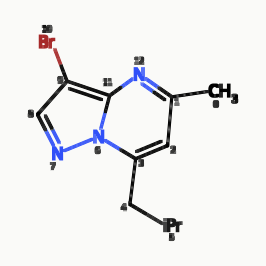 Cc1cc(CC(C)C)n2ncc(Br)c2n1